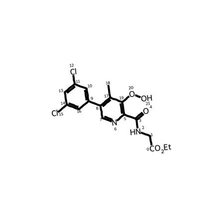 CCOC(=O)CNC(=O)c1ncc(-c2cc(Cl)cc(Cl)c2)c(C)c1OO